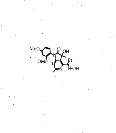 CC/C(=N\O)c1nc(C)nc2c1C(C)(O)C(=O)N2c1ccc(OC)cc1OC